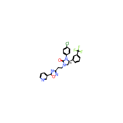 O=C1N(CCc2noc(-c3cccnc3)n2)C[C@H](c2cccc(C(F)(F)F)c2)N1c1ccc(Cl)cc1